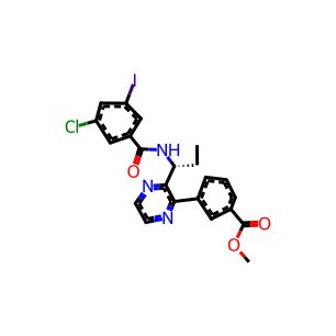 CC[C@@H](NC(=O)c1cc(Cl)cc(I)c1)c1nccnc1-c1cccc(C(=O)OC)c1